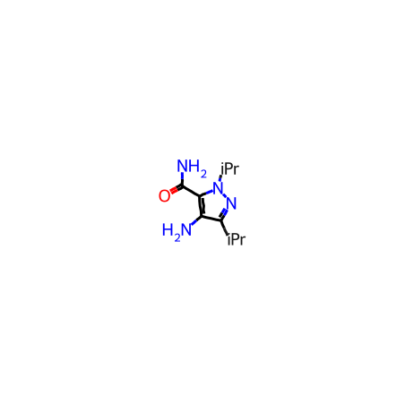 CC(C)c1nn(C(C)C)c(C(N)=O)c1N